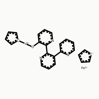 [Fe+2].c1cc[cH-]c1.c1ccc(-c2cccnc2-c2ncccc2[O][V+2][c-]2cccc2)nc1